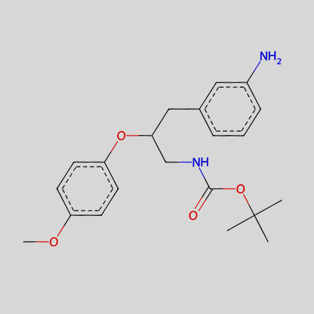 COc1ccc(OC(CNC(=O)OC(C)(C)C)Cc2cccc(N)c2)cc1